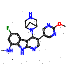 CNc1cc(F)cc2c1[nH]c1ncc(-c3cnc(OC)nc3)c(N3C4CNCC3C4)c12